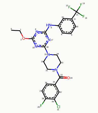 CCOc1nc(Nc2cccc(C(F)(F)F)c2)nc(N2CCN(C(=O)c3ccc(F)c(Cl)c3)CC2)n1